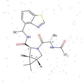 CC(C)(C)[C@H](NC(=O)C(F)(F)F)C(=O)N1C[C@H]2[C@@H]([C@H]1C(=O)NC(C#N)c1cccc3scnc13)C2(C)C